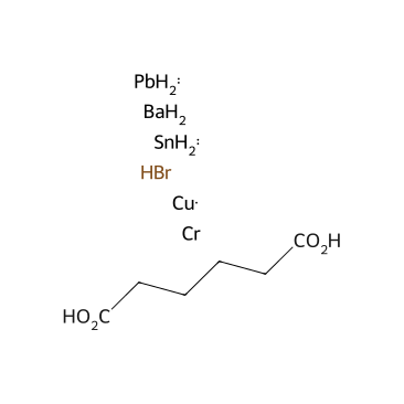 Br.O=C(O)CCCCC(=O)O.[BaH2].[Cr].[Cu].[PbH2].[SnH2]